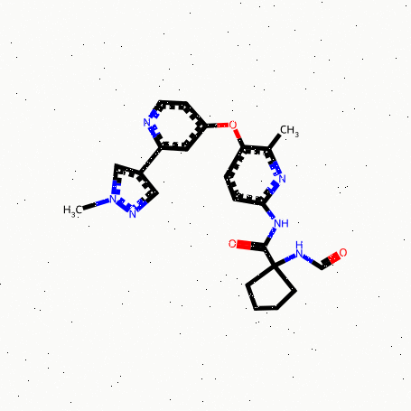 Cc1nc(NC(=O)C2(NC=O)CCCC2)ccc1Oc1ccnc(-c2cnn(C)c2)c1